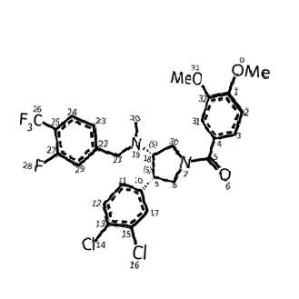 COc1ccc(C(=O)N2C[C@H](c3ccc(Cl)c(Cl)c3)[C@H](N(C)Cc3ccc(C(F)(F)F)c(F)c3)C2)cc1OC